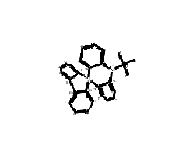 CC(C)(C)N1c2ccccc2[Si]2(c3ccccc3-c3ccccc32)c2ccccc21